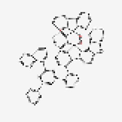 c1ccc(-c2cc(-c3ccccc3-c3cccc4c3-c3ccc5oc6ccccc6c5c3C43c4ccccc4C4(c5ccccc5-c5ccccc54)c4ccccc43)nc(-c3cccc4ccccc34)n2)cc1